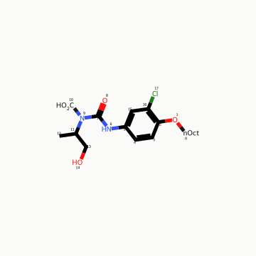 CCCCCCCCOc1ccc(NC(=O)N(C(=O)O)C(C)CO)cc1Cl